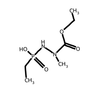 CCOC(=O)N(C)NP(=O)(O)CC